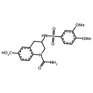 COc1ccc(S(=O)(=O)NC2Cc3cc(C(=O)O)ccc3N(C(N)=O)C2)cc1OC